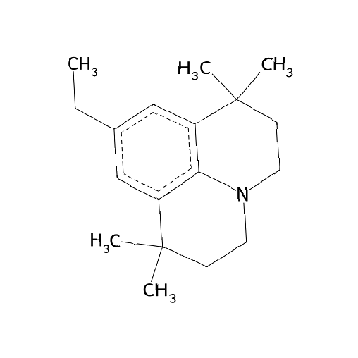 CCc1cc2c3c(c1)C(C)(C)CCN3CCC2(C)C